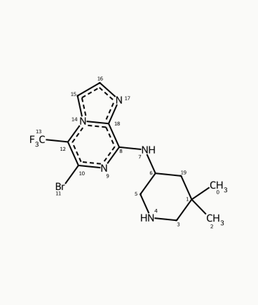 CC1(C)CNCC(Nc2nc(Br)c(C(F)(F)F)n3ccnc23)C1